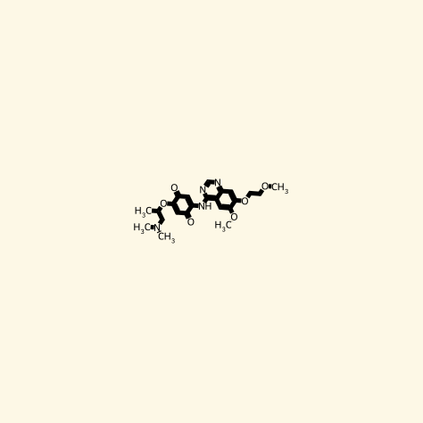 COCCOc1cc2ncnc(NC3=CC(=O)C(OC(C)CN(C)C)=CC3=O)c2cc1OC